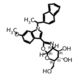 COc1ccc2c(C3=N[C@H]4[C@@H](O3)O[C@H](CO)[C@@H](O)[C@@H]4O)cn(C(C)c3ccc4ccccc4c3)c2c1